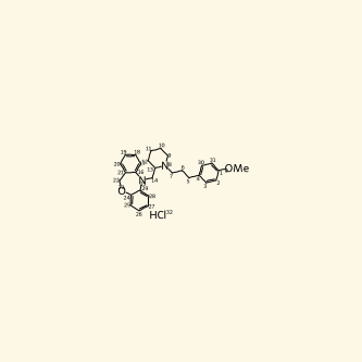 COc1ccc(CCCN2CCCCC2CN2c3ccccc3COc3ccccc32)cc1.Cl